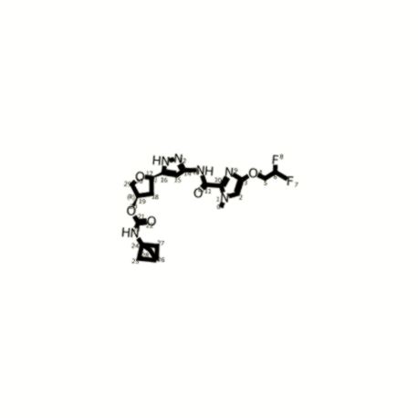 Cn1cc(OCC(F)F)nc1C(=O)Nc1cc([C@H]2C[C@@H](OC(=O)NC34CC(C3)C4)CO2)[nH]n1